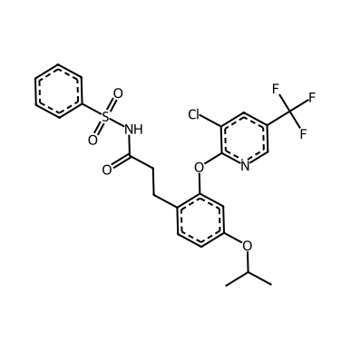 CC(C)Oc1ccc(CCC(=O)NS(=O)(=O)c2ccccc2)c(Oc2ncc(C(F)(F)F)cc2Cl)c1